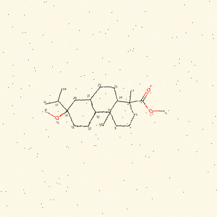 COC(=O)C1(C)CCCC2(C)C3CCC(OC)(C(C)C)CC3CCC12